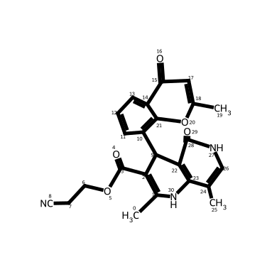 CC1=C(C(=O)OCCC#N)C(c2cccc3c(=O)cc(C)oc23)c2c(c(C)c[nH]c2=O)N1